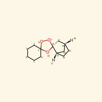 C1CCC2(CC1)OO[C@]1(C[C@@H]3CC[C@H]1C3)O2